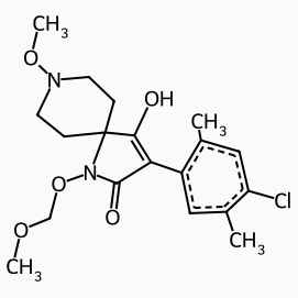 COCON1C(=O)C(c2cc(C)c(Cl)cc2C)=C(O)C12CCN(OC)CC2